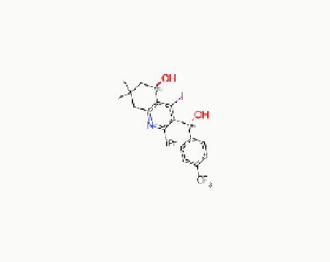 CC(C)c1nc2c(c(I)c1[C@H](O)c1ccc(C(F)(F)F)cc1)[C@H](O)CC(C)(C)C2